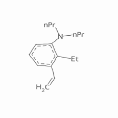 C=Cc1cccc(N(CCC)CCC)c1CC